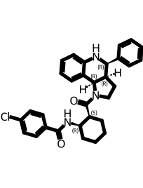 O=C(N[C@@H]1CCCC[C@@H]1C(=O)N1CC[C@@H]2[C@H](c3ccccc3)Nc3ccccc3[C@@H]21)c1ccc(Cl)cc1